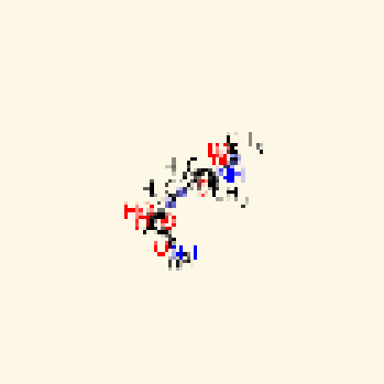 CCCNC(=O)C[C@@H]1C[C@@]2(CO2)[C@H](O)[C@@H](/C=C/C(C)=C/C[C@@H]2O[C@H](C)[C@H](NC(=O)/C=C\[C@H](C)O)C[C@@H]2C)O1